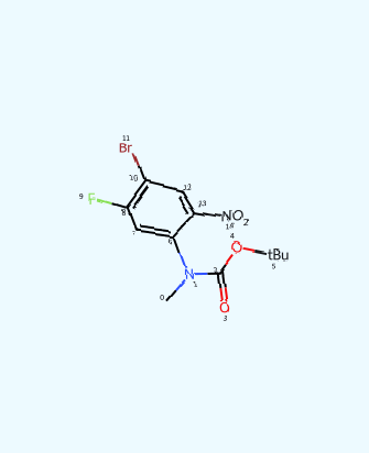 CN(C(=O)OC(C)(C)C)c1cc(F)c(Br)cc1[N+](=O)[O-]